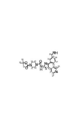 Cc1cc(-c2sc(NC(=O)N3CCN(C(=O)OC(C)(C)C)CC3)nc2-c2cccc(C=N)c2)cc(C)n1